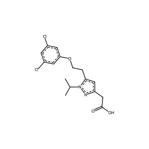 CC(C)n1nc(CC(=O)O)cc1CCOc1cc(Cl)cc(Cl)c1